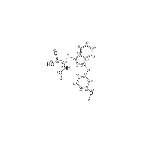 CON[C@@H](Cc1cn(Cc2cccc(OC)c2)c2ccccc12)C(=O)O